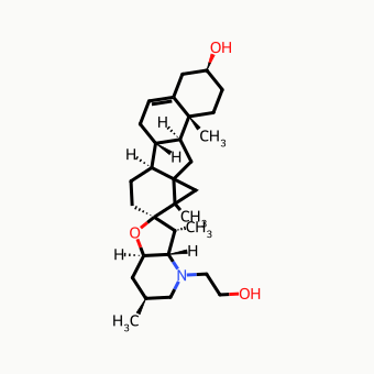 C[C@H]1C[C@H]2O[C@]3(CC[C@H]4[C@@H]5CC=C6C[C@@H](O)CC[C@]6(C)[C@H]5CC45CC53C)[C@H](C)[C@@H]2N(CCO)C1